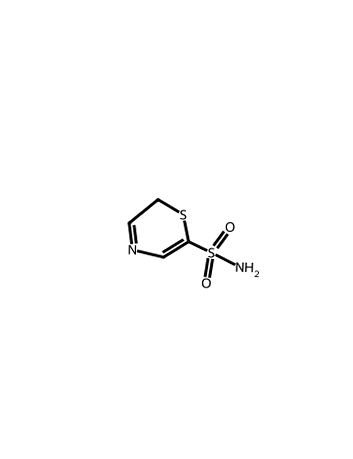 NS(=O)(=O)C1=CN=CCS1